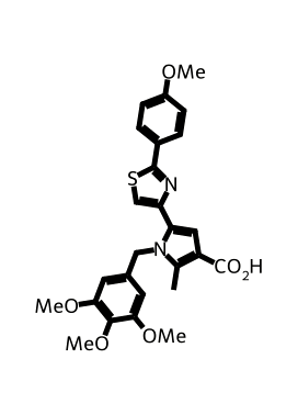 COc1ccc(-c2nc(-c3cc(C(=O)O)c(C)n3Cc3cc(OC)c(OC)c(OC)c3)cs2)cc1